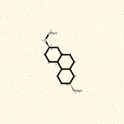 CCCCCCC[C@@H]1CCC2C(CCC3C[C@H](OCCCCC)CCC32)C1